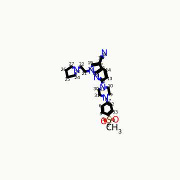 CS(=O)(=O)c1ccc(N2CCN(c3ccc4c(C#N)cn(CCN5CCCC5)c4n3)CC2)cc1